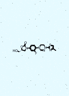 Cc1csc(N2CCN(c3ccc(N4C[C@H](CO)OC4=O)cc3F)C=N2)n1